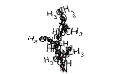 CC(CN1CCCC1)c1nc2cc([C@H]3C(c4cnc5cc(NC(=O)C(=O)N6C[C@@H](C)C(Cc7cnc8cc(NC(=O)C(=O)N9C[C@@H](C)CC[C@@H]9c9ccc%10sc(CCN(C)C)nc%10c9)ccn78)C[C@@H]6c6ccc7sc(C8CCCN(C)C8)nc7c6)ccn45)C[C@H](C)CN3C(=O)C(=O)Nc3ccn4ccnc4c3)ccc2s1